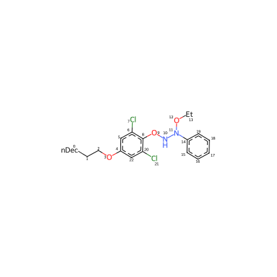 CCCCCCCCCCCCOc1cc(Cl)c(ONN(OCC)c2ccccc2)c(Cl)c1